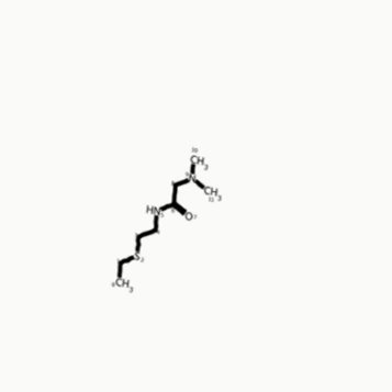 CCSCCNC(=O)CN(C)C